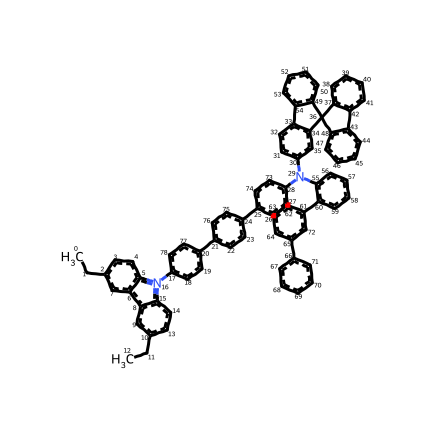 CCc1ccc2c(c1)c1cc(CC)ccc1n2-c1ccc(-c2ccc(-c3ccc(N(c4ccc5c(c4)C4(c6ccccc6-c6ccccc64)c4ccccc4-5)c4ccccc4-c4cccc(-c5ccccc5)c4)cc3)cc2)cc1